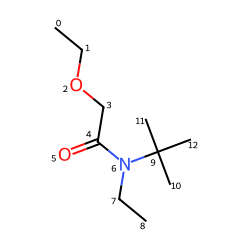 CCOCC(=O)N(CC)C(C)(C)C